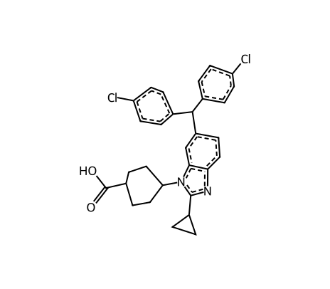 O=C(O)C1CCC(n2c(C3CC3)nc3ccc(C(c4ccc(Cl)cc4)c4ccc(Cl)cc4)cc32)CC1